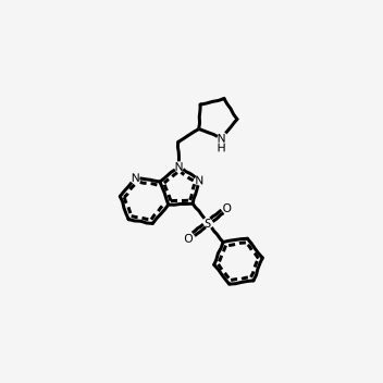 O=S(=O)(c1ccccc1)c1nn(CC2CCCN2)c2ncccc12